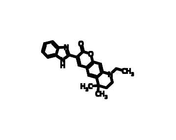 CCN1CCC(C)(C)c2cc3cc(-c4nc5ccccc5[nH]4)c(=O)oc3cc21